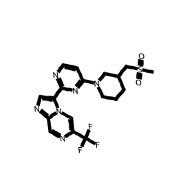 CS(=O)(=O)CC1CCCN(c2ccnc(-c3cnc4cnc(C(F)(F)F)cn34)n2)C1